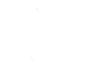 N#Cc1ccc(Sc2ccc(O)cn2)cc1